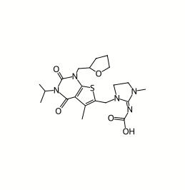 Cc1c(CN2CCN(C)C2=NC(=O)O)sc2c1c(=O)n(C(C)C)c(=O)n2CC1CCCO1